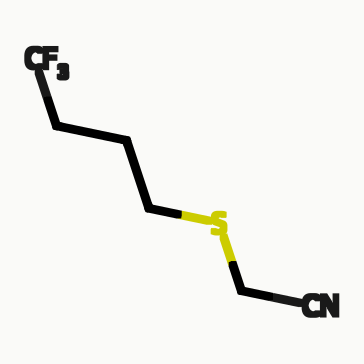 N#CCSCCCC(F)(F)F